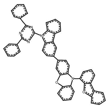 c1ccc(-c2nc(-c3ccccc3)nc(-n3c4ccccc4c4cc(-c5ccc6c(c5)Oc5ccccc5N6c5cccc6c5oc5ccccc56)ccc43)n2)cc1